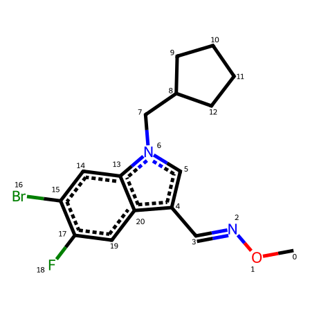 CO/N=C/c1cn(CC2CCCC2)c2cc(Br)c(F)cc12